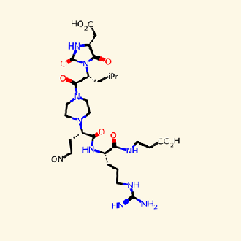 CC(C)C[C@H](C(=O)N1CCN([C@@H](CCN=O)C(=O)N[C@@H](CCCNC(=N)N)C(=O)NCCC(=O)O)CC1)N1C(=O)N[C@@H](CC(=O)O)C1=O